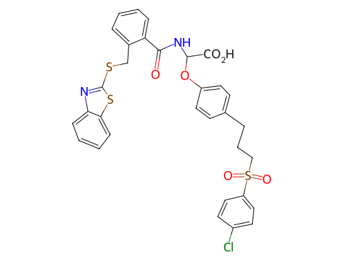 O=C(NC(Oc1ccc(CCCS(=O)(=O)c2ccc(Cl)cc2)cc1)C(=O)O)c1ccccc1CSc1nc2ccccc2s1